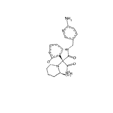 NC(=O)[C@](C(=O)NCc1ccc(N)nc1)(c1ccccc1Cl)N1CCCC[C@@H]1C(=O)O